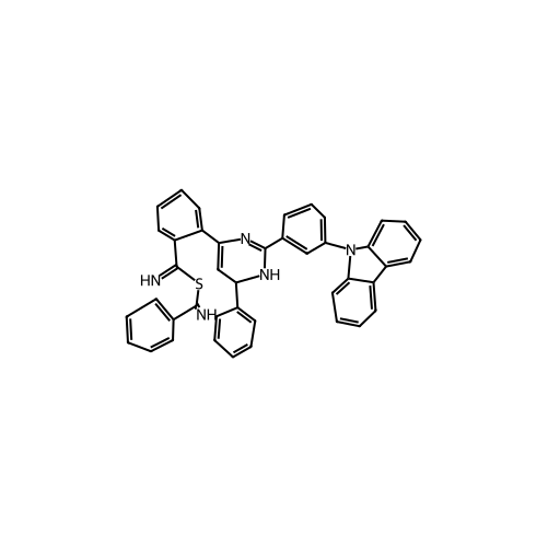 N=C(SC(=N)c1ccccc1C1=CC(c2ccccc2)NC(c2cccc(-n3c4ccccc4c4ccccc43)c2)=N1)c1ccccc1